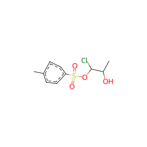 Cc1ccc(S(=O)(=O)OC(Cl)C(C)O)cc1